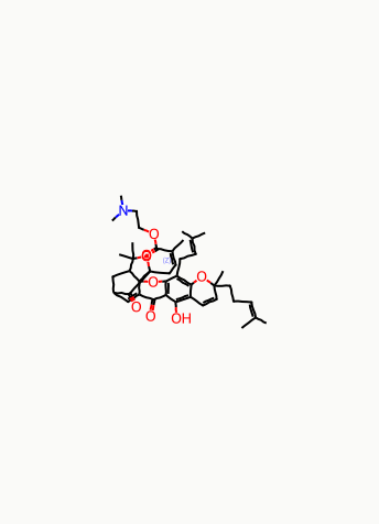 CC(C)=CCCC1(C)C=Cc2c(O)c3c(c(CC=C(C)C)c2O1)OC12C(=CC4CC1C(C)(C)OC2(C/C=C(/C)C(=O)OCCN(C)C)C4=O)C3=O